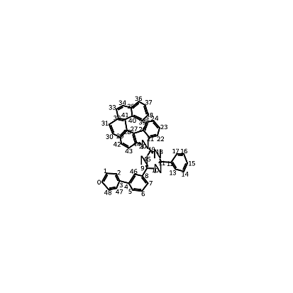 c1ccc(-c2cccc(-c3nc(-c4ccccc4)nc(-n4c5ccccc5c5c6c(ccc7ccc8ccccc8c76)ccc54)n3)c2)cc1